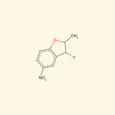 CC1Oc2ccc([N+](=O)[O-])cc2C1F